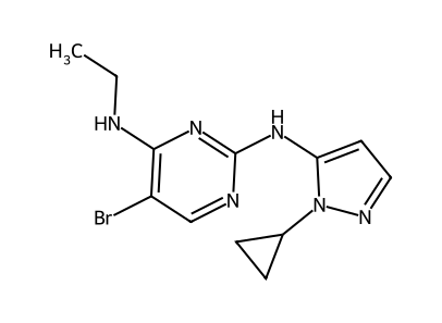 CCNc1nc(Nc2ccnn2C2CC2)ncc1Br